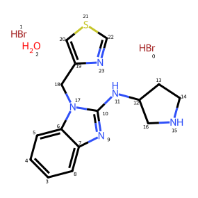 Br.Br.O.c1ccc2c(c1)nc(NC1CCNC1)n2Cc1cscn1